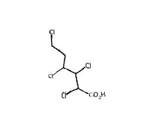 O=C(O)C(Cl)C(Cl)C(Cl)CCCl